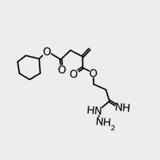 C=C(CC(=O)OC1CCCCC1)C(=O)OCCC(=N)NN